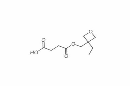 CCC1(COC(=O)CCC(=O)O)COC1